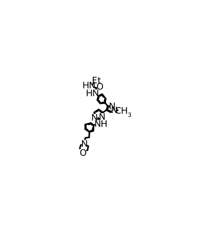 CCNC(=O)Nc1ccc(-c2nn(C)cc2-c2ccnc(Nc3cccc(CCN4CCOCC4)c3)n2)cc1